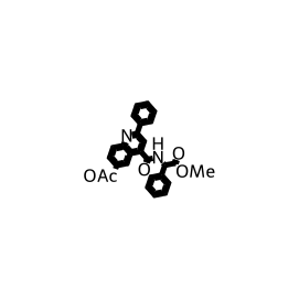 COC(=O)C(NC(=O)c1cc(-c2ccccc2)nc2ccc(OC(C)=O)cc12)c1ccccc1